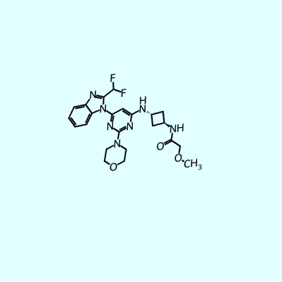 COCC(=O)N[C@H]1C[C@H](Nc2cc(-n3c(C(F)F)nc4ccccc43)nc(N3CCOCC3)n2)C1